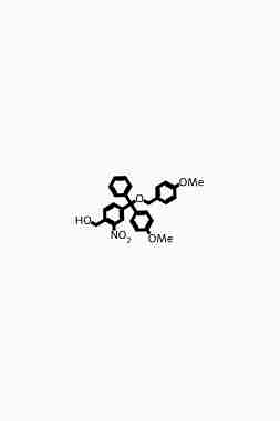 COc1ccc(COC(c2ccccc2)(c2ccc(OC)cc2)c2ccc(CO)c([N+](=O)[O-])c2)cc1